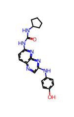 O=C(Nc1ccc2ncc(Nc3ccc(O)cc3)nc2n1)NC1CCCC1